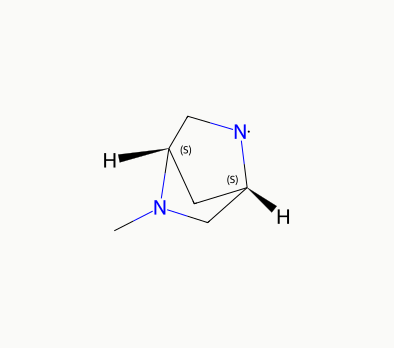 CN1C[C@@H]2C[C@H]1C[N]2